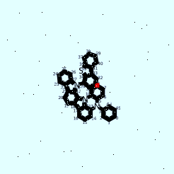 c1ccc(N2c3ccccc3-n3c4c2cccc4c2ccc4c5ccccc5n(-c5cccc6c5sc5ccccc56)c4c23)cc1